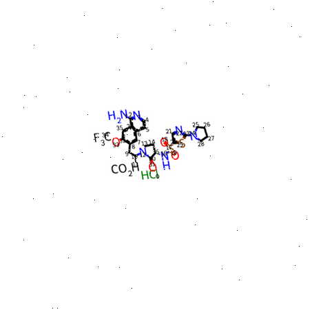 Cl.Nc1nccc2cc(C[C@H](C(=O)O)N3CC[C@H](NS(=O)(=O)c4cnc(N5CCCC5)s4)C3=O)c(OC(F)(F)F)cc12